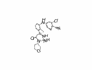 N#Cc1ccc(Nc2cccc3c2C[C@]32CC(=O)N(C3CCOCC3)C(=N)N2)cc1Cl